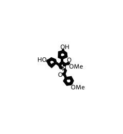 COC(=O)c1c(-c2ccc(O)cc2)c(-c2ccc(O)cc2)cn1CC(=O)c1ccc(OC)cc1